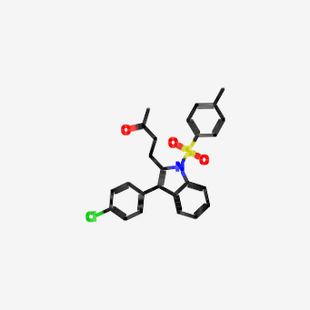 CC(=O)CCc1c(-c2ccc(Cl)cc2)c2ccccc2n1S(=O)(=O)c1ccc(C)cc1